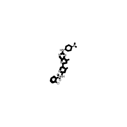 Cc1cc(NS(=O)(=O)c2ccc#cc2Cl)ncc1-c1cc(C)c2nc(N[C@H]3CC[C@H](N(C)C)CC3)ncc2n1